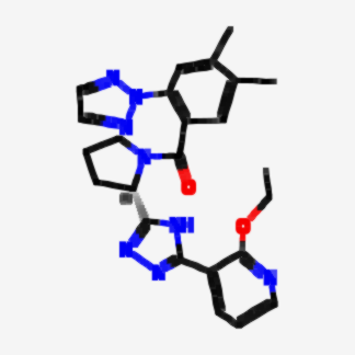 CCOc1ncccc1-c1nnc([C@@H]2CCCN2C(=O)c2cc(C)c(C)cc2-n2nccn2)[nH]1